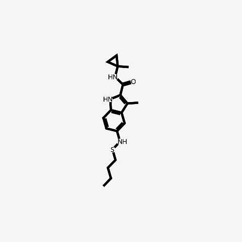 CCCCSNc1ccc2[nH]c(C(=O)NC3(C)CC3)c(C)c2c1